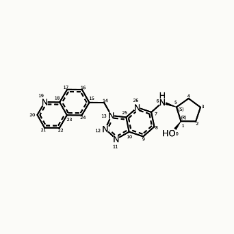 O[C@@H]1CCC[C@@H]1Nc1ccc2nnn(Cc3ccc4ncccc4c3)c2n1